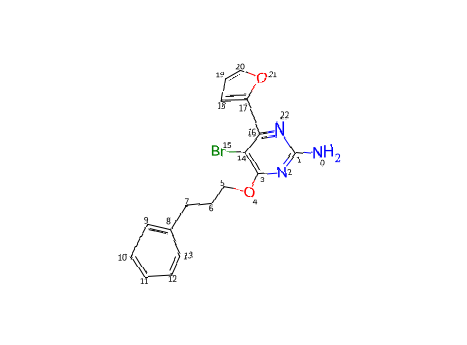 Nc1nc(OCCCc2ccccc2)c(Br)c(-c2ccco2)n1